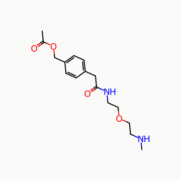 CNCCOCCNC(=O)Cc1ccc(COC(C)=O)cc1